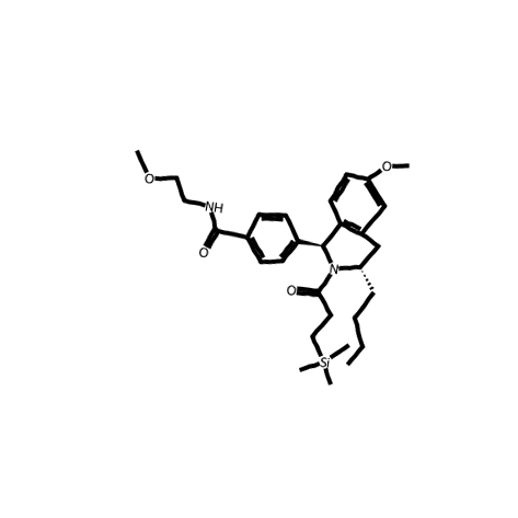 CCCC[C@H]1Cc2cc(OC)ccc2[C@H](c2ccc(C(=O)NCCOC)cc2)N1C(=O)CC[Si](C)(C)C